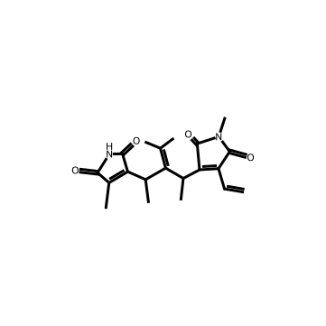 C=CC1=C(C(C)C(=C(C)C)C(C)C2=C(C)C(=O)NC2=O)C(=O)N(C)C1=O